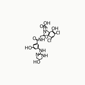 O=C(O)C[C@@H](NC(=O)CNC(=O)c1cc(O)cc(NC2=NCC(O)CN2)c1)c1cc(Cl)cc(Cl)c1O